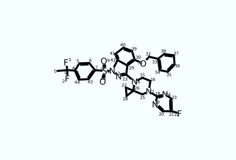 CC(F)(F)c1ccc(S(=O)(=O)n2nc(N3CCN(c4ncc(F)cn4)CC34CC4)c3c(OCc4ccccc4)cccc32)cc1